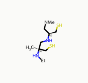 CCN[C@](C)(CS)CN[C@H](CS)CNC